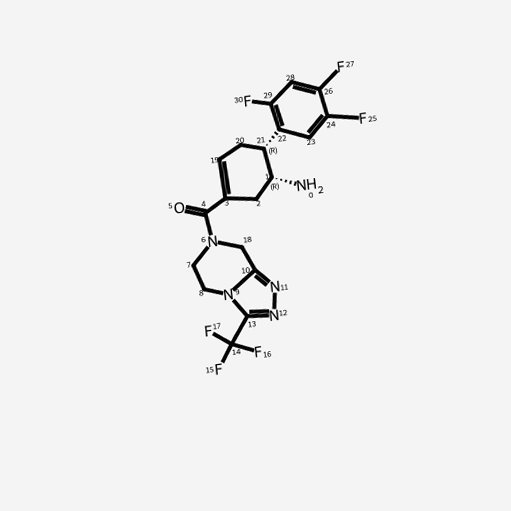 N[C@@H]1CC(C(=O)N2CCn3c(nnc3C(F)(F)F)C2)=CC[C@@H]1c1cc(F)c(F)cc1F